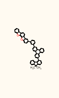 CC1(C)c2ccccc2-c2c(-c3ccc4c5ccc(-c6cccc(-c7ccc8oc9c(ccc%10c%11ccccc%11oc%109)c8c7)c6)cc5c5ccccc5c4c3)cccc21